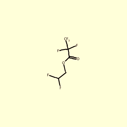 O=C(OCC(F)F)C(F)(F)C(F)(F)F